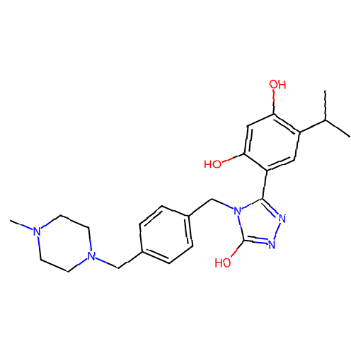 CC(C)c1cc(-c2nnc(O)n2Cc2ccc(CN3CCN(C)CC3)cc2)c(O)cc1O